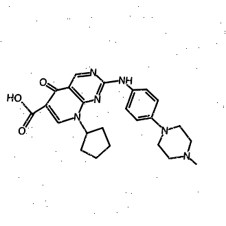 CN1CCN(c2ccc(Nc3ncc4c(=O)c(C(=O)O)cn(C5CCCC5)c4n3)cc2)CC1